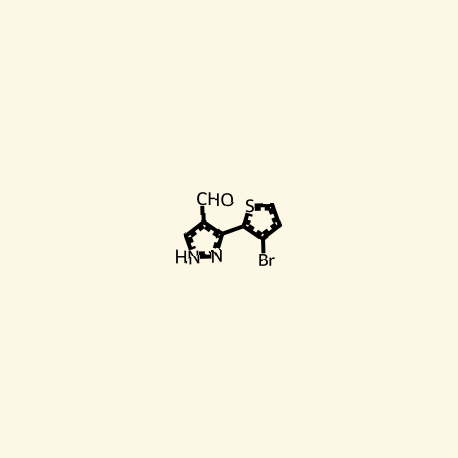 O=Cc1c[nH]nc1-c1sccc1Br